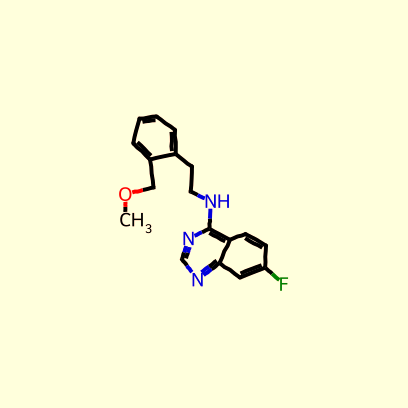 COCc1ccccc1CCNc1ncnc2cc(F)ccc12